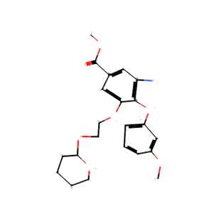 COC(=O)c1cc(N)c(Oc2cccc(OC)c2)c(OCCOC2CCCCO2)c1